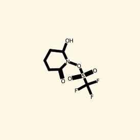 O=C1CCCC(O)N1OS(=O)(=O)C(F)(F)F